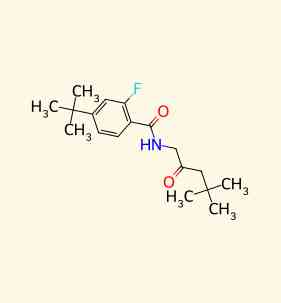 CC(C)(C)CC(=O)CNC(=O)c1ccc(C(C)(C)C)cc1F